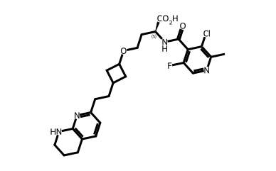 Cc1ncc(F)c(C(=O)N[C@@H](CCOC2CC(CCc3ccc4c(n3)NCCC4)C2)C(=O)O)c1Cl